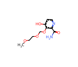 COCCOCOc1c(O)ccnc1C(N)=O